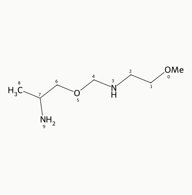 COCCNCOCC(C)N